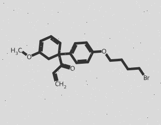 C=CC(=O)C1(c2ccc(OCCCCBr)cc2)C=CC=C(OC)C1